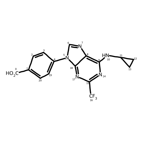 O=C(O)c1ccc(-n2cnc3c(NC4CC4)nc(C(F)(F)F)nc32)cc1